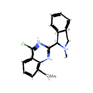 COc1cccc2c(Cl)nc(C3c4ccccc4CN3C)nc12